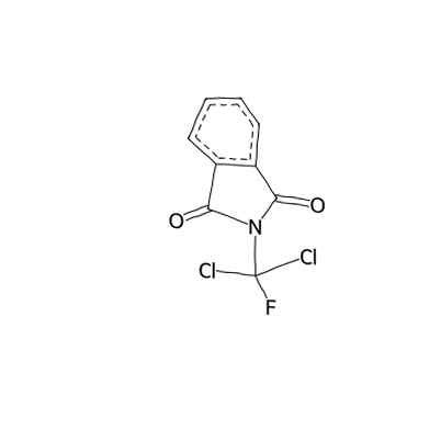 O=C1c2ccccc2C(=O)N1C(F)(Cl)Cl